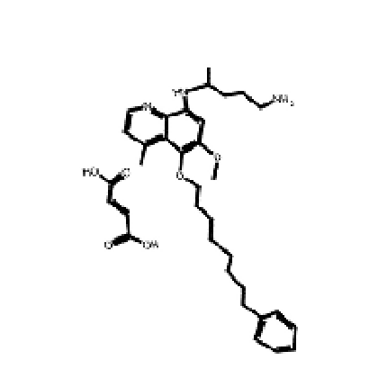 COc1cc(NC(C)CCCN)c2nccc(C)c2c1OCCCCCCCCc1ccccc1.O=C(O)C=CC(=O)O